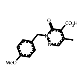 COc1ccc(Cn2ncc(C)c(C(=O)O)c2=O)cc1